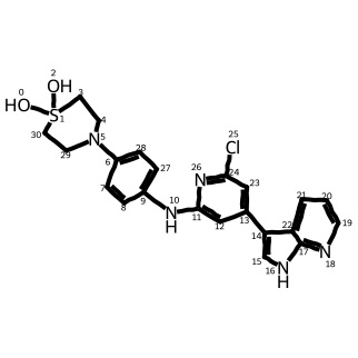 OS1(O)CCN(c2ccc(Nc3cc(-c4c[nH]c5ncccc45)cc(Cl)n3)cc2)CC1